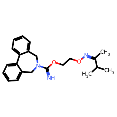 CC(=NOCCOC(=N)N1Cc2ccccc2-c2ccccc2C1)C(C)C